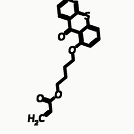 C=CC(=O)OCCCCOc1cccc2sc3ccccc3c(=O)c12